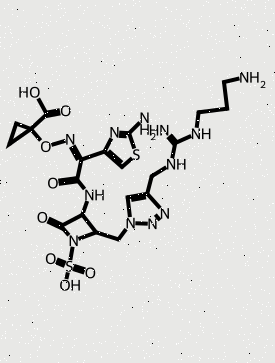 N=C(NCCCN)NCc1cn(CC2C(NC(=O)/C(=N\OC3(C(=O)O)CC3)c3csc(N)n3)C(=O)N2S(=O)(=O)O)nn1